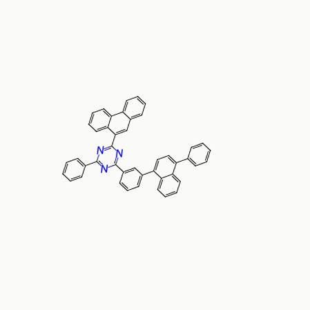 c1ccc(-c2nc(-c3cccc(-c4ccc(-c5ccccc5)c5ccccc45)c3)nc(-c3cc4ccccc4c4ccccc34)n2)cc1